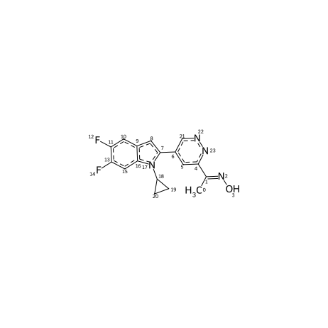 CC(=NO)c1cc(-c2cc3cc(F)c(F)cc3n2C2CC2)cnn1